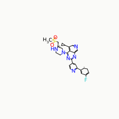 CS(=O)(=O)C[C@H]1CN(c2nc(-c3ccnc(C4=CC(F)=CC[CH]4)c3)nc3cncc(C4CC4)c23)CCN1